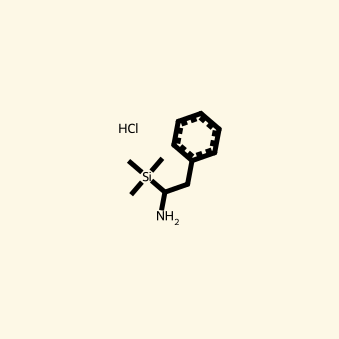 C[Si](C)(C)C(N)Cc1ccccc1.Cl